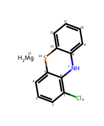 Clc1cccc2c1Nc1ccccc1S2.[MgH2]